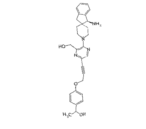 CC(O)c1ccc(OCC#Cc2cnc(N3CCC4(CC3)Cc3ccccc3[C@H]4N)c(CO)n2)cc1